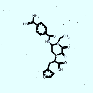 CCN1C(=O)C(=O)N(C(Cc2ccoc2)C(=O)O)CC1NC(=O)c1ccc(C(=N)N)cc1